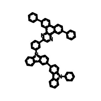 c1ccc(-c2ccc3c4ccc(-c5ccccc5)cc4c4nc(-c5cccc(-n6c7ccccc7c7cc(-c8ccc9c(c8)c8ccccc8n9-c8ccccc8)ccc76)c5)cnc4c3c2)cc1